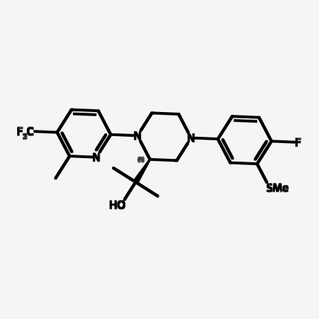 CSc1cc(N2CCN(c3ccc(C(F)(F)F)c(C)n3)[C@H](C(C)(C)O)C2)ccc1F